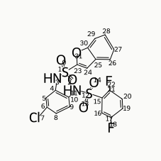 O=S(=O)(Nc1cc(Cl)ccc1NS(=O)(=O)c1cc(F)ccc1F)c1cc2ccccc2o1